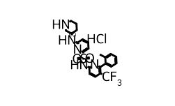 Cc1ccccc1-c1nc(NS(=O)(=O)c2cccc(N[C@@H]3CCCNC3)n2)ccc1C(F)(F)F.Cl